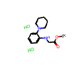 CC(C)OC(=O)CNc1ccccc1N1CCCCC1.Cl.Cl